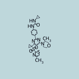 Cc1csc(S(=O)(=O)C2(c3cc(N4CCOC[C@@H]4C)nc(-c4ccc(NC(=O)NC5CC5)cc4)n3)CC2)n1